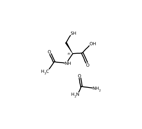 CC(=O)N[C@@H](CS)C(=O)O.NC(N)=O